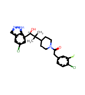 CC(C)(C1CCN(C(=O)Cc2ccc(Cl)c(F)c2)CC1)[C@H](O)c1cc(Cl)cc2cn[nH]c12